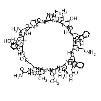 CCCC[C@H]1C(=O)N(C)[C@@H](CCCC)C(=O)N[C@@H](CC(C)C)C(=O)N[C@H](C(=O)NCC(N)=O)CSCC(=O)N[C@@H](Cc2ccc(O)cc2)C(=O)N(C)[C@@H](C)C(=O)N[C@@H](CC(N)=O)C(=O)N2CCC[C@H]2C(=O)N[C@@H](CN)C(=O)N[C@@H](C(C)CC)C(=O)N2C[C@H](O)C[C@H]2C(=O)N[C@@H](Cc2c[nH]c3ccccc23)C(=O)N[C@@H](CCCCN)C(=O)N[C@@H](Cc2cn(CC(=O)O)c3ccccc23)C(=O)N1C